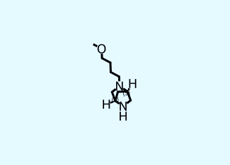 COCCCCN1C[C@@H]2C[C@H]1CN2